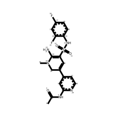 CC(=O)Nc1cc(C2=CC(S(=O)(=O)Nc3ccc(F)cc3F)=C(N)N(C)C2)ccn1